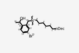 CCCCCCCCCCCCCCCC[N+](C)(C)Cc1ccccc1C(C)O.[Br-]